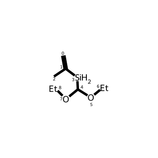 C=C(C)[SiH2]C(OCC)OCC